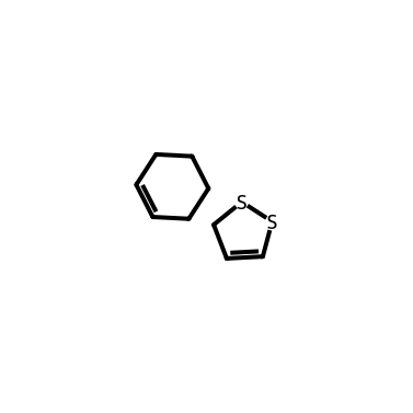 C1=CCCCC1.C1=CSSC1